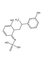 CC(CC1C(O)=CC=C/C1=N\P(=O)(O)O)c1cccc(O)c1